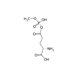 COP(=O)(O)OC(=O)CC[C@H](N)C(=O)O